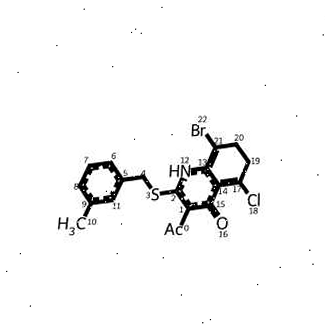 CC(=O)c1c(SCc2cccc(C)c2)[nH]c2c(c1=O)=C(Cl)CCC=2Br